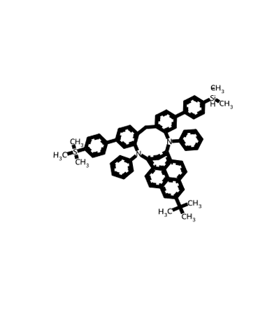 C[SiH](C)c1ccc(-c2ccc3c(c2)N(c2ccccc2)c2cc(c4ccc5cc(C(C)(C)C)cc6ccc2c4c65)N(c2ccccc2)c2cc(-c4ccc(S(C)(C)C)cc4)ccc2C3)cc1